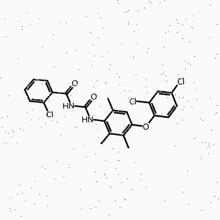 Cc1cc(Oc2ccc(Cl)cc2Cl)c(C)c(C)c1NC(=O)NC(=O)c1ccccc1Cl